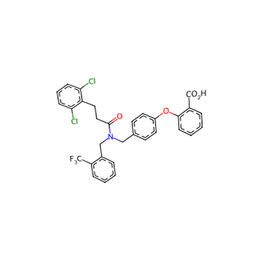 O=C(O)c1ccccc1Oc1ccc(CN(Cc2ccccc2C(F)(F)F)C(=O)CCc2c(Cl)cccc2Cl)cc1